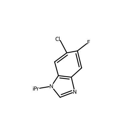 CC(C)n1cnc2cc(F)c(Cl)cc21